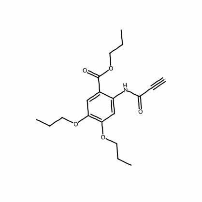 C#CC(=O)Nc1cc(OCCC)c(OCCC)cc1C(=O)OCCC